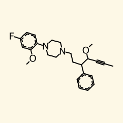 CC#CC(OC)C(CCN1CCN(c2ccc(F)cc2OC)CC1)c1ccccc1